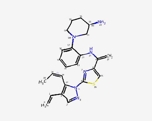 C=Cc1cnn(-c2nc(C(=C)Nc3ccccc3N3CCC[C@@H](N)C3)cs2)c1/C=C\C